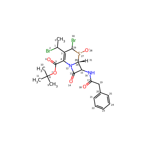 CC(Br)C1=C(C(=O)OC(C)(C)C)N2C(=O)C(NC(=O)Cc3ccccc3)[C@H]2[S+]([O-])C1Br